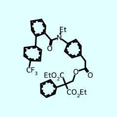 CCOC(=O)C(COC(=O)Cc1ccc(N(CC)C(=O)c2ccccc2-c2ccc(C(F)(F)F)cc2)cc1)(C(=O)OCC)c1ccccc1